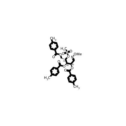 CON=C[C@@H](OC(=O)c1ccc(C)cc1)[C@@H](OC(=O)c1ccc(C)cc1)[C@H](COC(=O)c1ccc(C)cc1)OS(C)(=O)=O